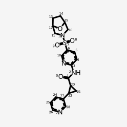 O=C(Nc1ccc(S(=O)(=O)N2CC3CCC(C2)O3)cn1)C1CC1c1cccnc1